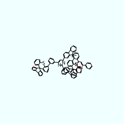 CC1(C)c2ccccc2-c2ccc(-c3cc(-c4cccc(-c5cccc6c5Sc5ccccc5C65c6ccccc6-c6ccccc65)c4)nc(-c4cccc(-c5cccc(-c6nc(-c7ccccc7)cc(-c7ccccc7-c7cccc8c7Sc7ccccc7C87c8ccccc8-c8ccccc87)n6)c5)c4)n3)cc21